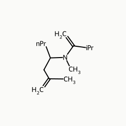 C=C(C)CC(CCC)N(C)C(=C)C(C)C